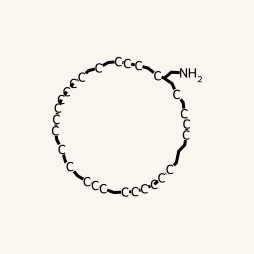 NCC1CCCCCCCCCCCCCCCCCCCCCCCCCCCCCCCCCCCCCCC1